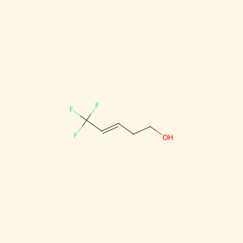 OCCC=CC(F)(F)F